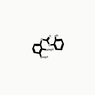 CCCCCCCc1cccc(OC(=O)Oc2ccccc2CCC)c1CCCCCCC